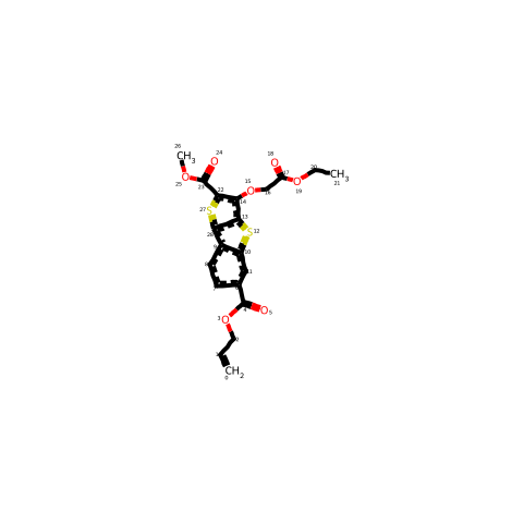 C=CCOC(=O)c1ccc2c(c1)sc1c(OCC(=O)OCC)c(C(=O)OC)sc12